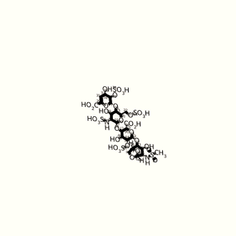 CS(=O)(=O)N[C@@H]1[C@H]2OC[C@H](O2)C(O[C@@H]2O[C@@H](C(=O)O)C(O[C@H]3O[C@H](COS(=O)(=O)O)C(O[C@@H]4OC(C(=O)O)=C[C@H](O)[C@H]4OS(=O)(=O)O)[C@H](O)[C@H]3NS(=O)(=O)O)[C@H](O)[C@H]2OS(=O)(=O)O)[C@@H]1O